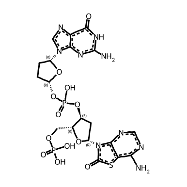 Nc1nc2c(ncn2[C@H]2CC[C@@H](OP(=O)(O)O[C@H]3C[C@H](n4c(=O)sc5c(N)ncnc54)O[C@@H]3COP(=O)(O)O)O2)c(=O)[nH]1